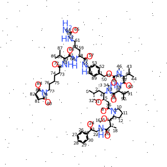 CC[C@H](C)C([C@@H](CC(=O)N1CCC[C@H]1[C@H](OC)[C@@H](C)C(=O)NCC(=O)c1ccccc1)OC)N(C)C(=O)[C@@H](NC(=O)[C@H](C(C)C)N(C)C(=O)OCc1ccc(NC(=O)[C@H](CCCNC(N)=O)NC(=O)[C@@H](NC(=O)CCCCCN2C(=O)C=CC2=O)C(C)C)cc1)C(C)C